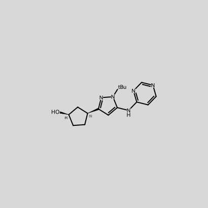 CC(C)(C)n1nc([C@H]2CC[C@@H](O)C2)cc1Nc1ccncn1